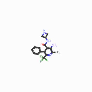 Cc1nc(C(F)(F)F)c(-c2ccccc2)c(C(=O)NC2CNC2)c1N